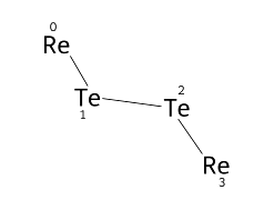 [Re][Te][Te][Re]